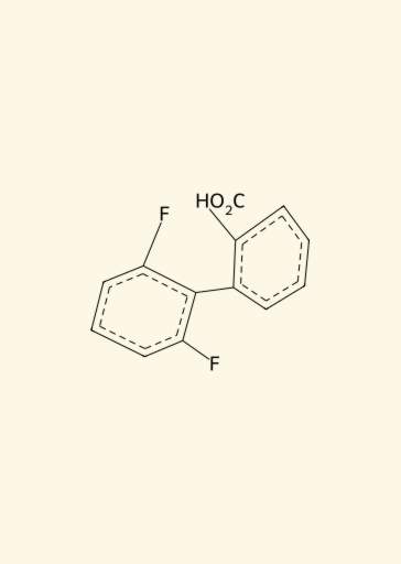 O=C(O)c1ccccc1-c1c(F)cccc1F